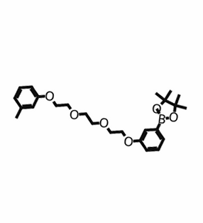 Cc1cccc(OCCOCCOCCOc2cccc(B3OC(C)(C)C(C)(C)O3)c2)c1